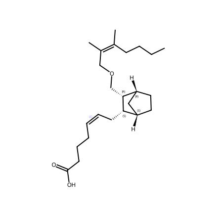 CCCCC(C)=C(C)COC[C@@H]1[C@@H]2CC[C@@H](C2)[C@@H]1C/C=C\CCCC(=O)O